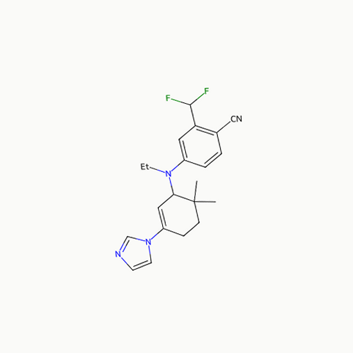 CCN(c1ccc(C#N)c(C(F)F)c1)C1C=C(n2ccnc2)CCC1(C)C